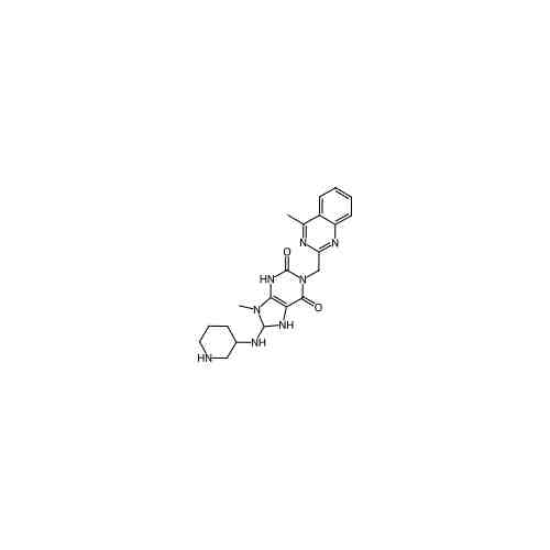 Cc1nc(Cn2c(=O)[nH]c3c(c2=O)NC(NC2CCCNC2)N3C)nc2ccccc12